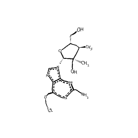 CCOc1nc(N)nc2c1ncn2[C@@H]1O[C@H](CO)[C@@H](C)[C@@]1(C)O